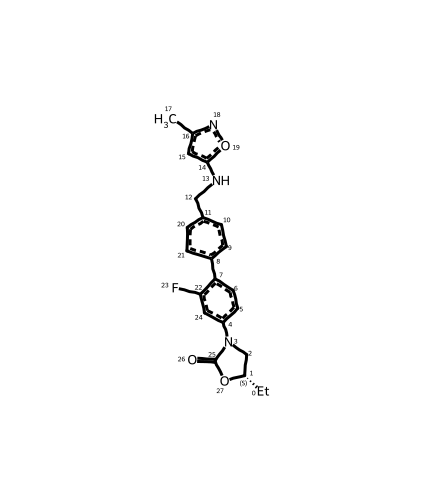 CC[C@H]1CN(c2ccc(-c3ccc(CNc4cc(C)no4)cc3)c(F)c2)C(=O)O1